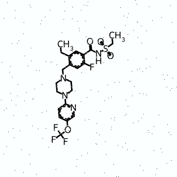 CCc1cc(C(=O)NS(=O)(=O)CC)c(F)cc1CN1CCN(c2ccc(OC(F)(F)F)cn2)CC1